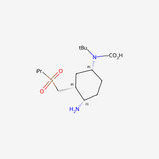 CC(C)S(=O)(=O)C[C@@H]1C[C@H](N(C(=O)O)C(C)(C)C)CC[C@@H]1N